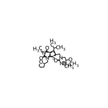 CCn1c(=O)c2c(C(C)C)c(CN(CC(OC)OC)C(N)=O)sc2n(CC2CCCO2)c1=O